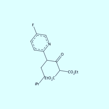 CCOC(=O)C(C(=O)OCC)C(=O)C(CCC(C)C)c1ccc(F)cn1